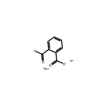 O=C([O-])c1ccccc1C(=O)[O-].[Fe+2].[H+]